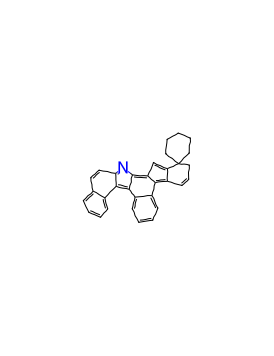 C1=CC2=c3c(c4c(c5ccccc35)=c3c(ccc5ccccc35)=N4)C=C2C2(C1)CCCCC2